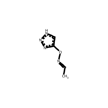 C[C]=NOc1c[nH]nn1